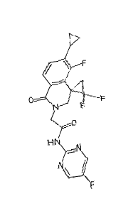 O=C(CN1CC2(CC2(F)F)c2c(ccc(C3CC3)c2F)C1=O)Nc1ncc(F)cn1